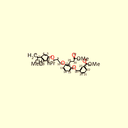 C=C(C)c1ccc(OCCCOc2cccc(OCc3cccc(C(=O)OC)c3)c2CCC(=O)OC)c(CCC)c1OC